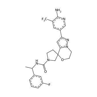 CC(NC(=O)N1CCC2(C1)OCCn1nc(-c3cnc(N)c(C(F)(F)F)c3)cc12)c1cccc(F)c1